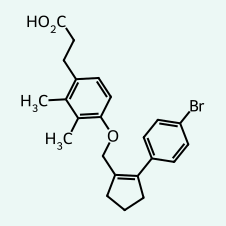 Cc1c(CCC(=O)O)ccc(OCC2=C(c3ccc(Br)cc3)CCC2)c1C